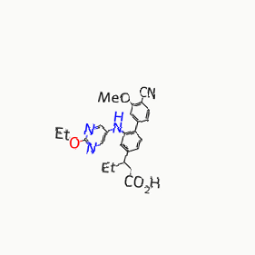 CCOc1ncc(Nc2cc(C(CC)CC(=O)O)ccc2-c2ccc(C#N)c(OC)c2)cn1